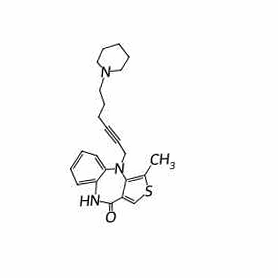 Cc1scc2c1N(CC#CCCCN1CCCCC1)c1ccccc1NC2=O